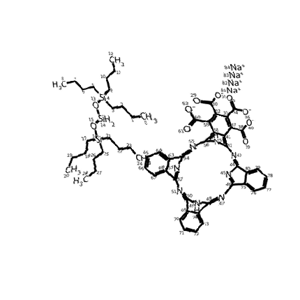 CCCC[Si](CCCC)(CCCC)O[SiH2]O[Si](CCCC)(CCCC)CCCC.O=C([O-])c1c(C(=O)[O-])c(C(=O)[O-])c2c3nc4nc(nc5[nH]c(nc6nc(nc([nH]3)c2c1C(=O)[O-])-c1ccccc1-6)c1ccccc51)-c1ccccc1-4.[Na+].[Na+].[Na+].[Na+]